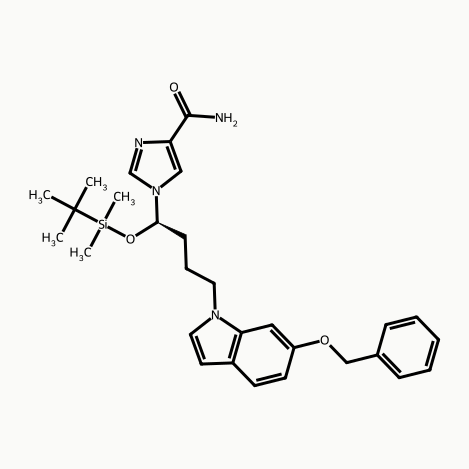 CC(C)(C)[Si](C)(C)O[C@H](CCCn1ccc2ccc(OCc3ccccc3)cc21)n1cnc(C(N)=O)c1